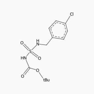 CC(C)(C)OC(=O)NS(=O)(=O)NCc1ccc(Cl)cc1